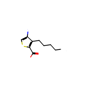 CCCCCc1c(N)csc1C(=O)O